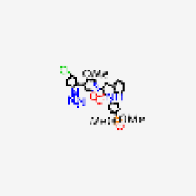 COc1cn(C(Cc2ccccc2)C(=O)Nc2ccc(P(=O)(OC)OC)cc2)c(=O)cc1-c1cc(Cl)ccc1-n1cnnn1